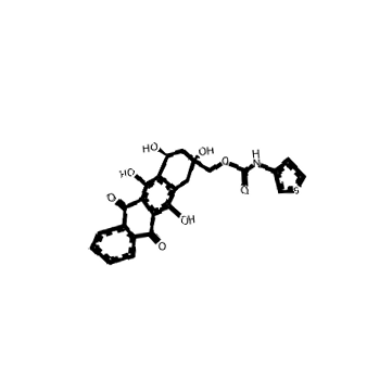 O=C(Nc1ccsc1)OC[C@]1(O)Cc2c(O)c3c(c(O)c2[C@@H](O)C1)C(=O)c1ccccc1C3=O